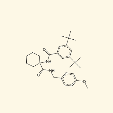 COc1ccc(CNC(=O)C2(NC(=O)c3cc(C(C)(C)C)cc(C(C)(C)C)c3)CCCCC2)cc1